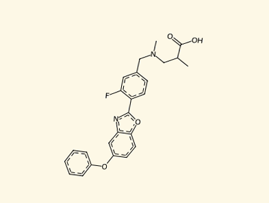 CC(CN(C)Cc1ccc(-c2nc3cc(Oc4ccccc4)ccc3o2)c(F)c1)C(=O)O